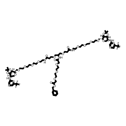 CC1(C)O[C@@H]2[C@H](O1)[C@@H](Nc1cncc(C(F)(F)F)n1)CO[C@@H]2COCCOCCOCCOCCNC(=O)CCOCC(COCCC(=O)NCCOCCOCCOCCOC[C@H]1OC[C@H](Nc2cncc(C(F)(F)F)n2)[C@H]2OC(C)(C)O[C@H]21)NC(=O)COCCOCCOCC(=O)OCc1ccccc1